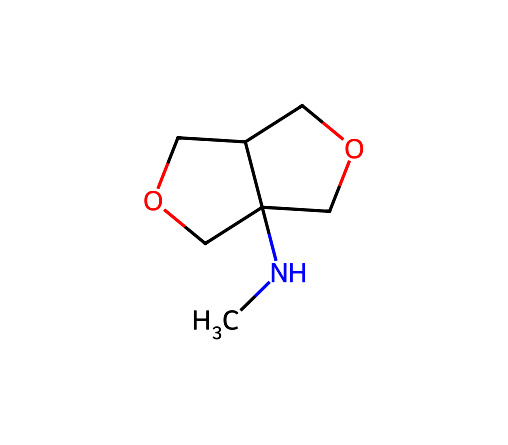 CNC12COCC1COC2